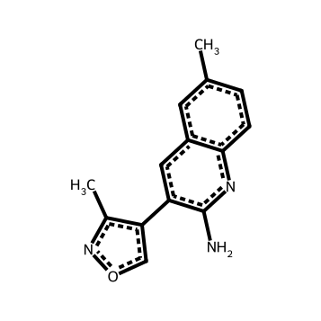 Cc1ccc2nc(N)c(-c3conc3C)cc2c1